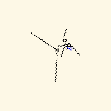 CCCCCCCCCCCCCCCCCC[CH2][Ni][CH2]CCCCCCCCCCCCCCCCCC.CCCCCCCCc1ccc(C(=C(CCCC)C(=C=[N+]=[N-])CCCCCC)c2ccc(CCCCCC)cc2)cc1